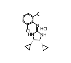 Cl.Clc1cccc(Cl)c1N=C1N[C@H](C2CC2)[C@H](C2CC2)N1